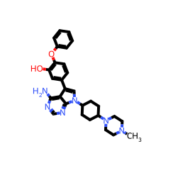 CN1CCN(C2CCC(n3cc(-c4ccc(Oc5ccccc5)c(O)c4)c4c(N)ncnc43)CC2)CC1